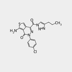 CCCc1cn(C(=O)c2nn(-c3ccc(Cl)cc3)c(=O)c3c(N)scc23)nn1